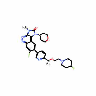 C[C@@H](OCCN1CCC(F)CC1)c1ccc(-c2cc3c(cc2F)nnc2c3n(C3CCOCC3)c(=O)n2C)cn1